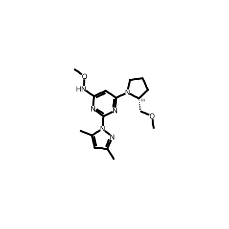 COC[C@H]1CCCN1c1cc(NOC)nc(-n2nc(C)cc2C)n1